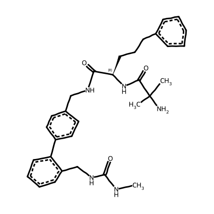 CNC(=O)NCc1ccccc1-c1ccc(CNC(=O)[C@@H](CCCc2ccccc2)NC(=O)C(C)(C)N)cc1